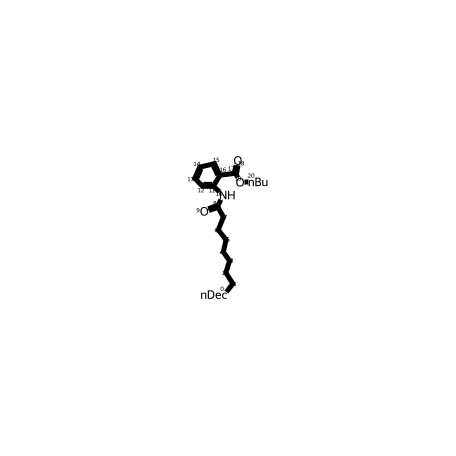 CCCCCCCCCCCCCCCCCC(=O)Nc1ccccc1C(=O)OCCCC